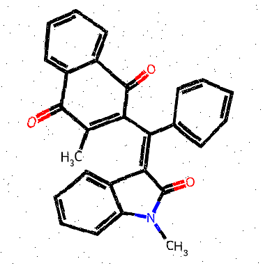 CC1=C(C(=C2C(=O)N(C)c3ccccc32)c2ccccc2)C(=O)c2ccccc2C1=O